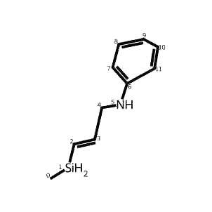 C[SiH2]C=CCNc1ccccc1